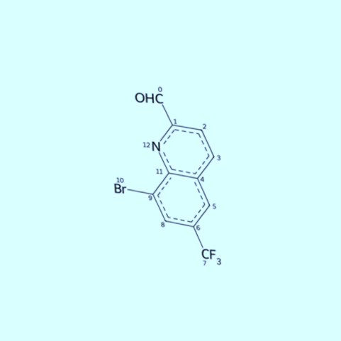 O=Cc1ccc2cc(C(F)(F)F)cc(Br)c2n1